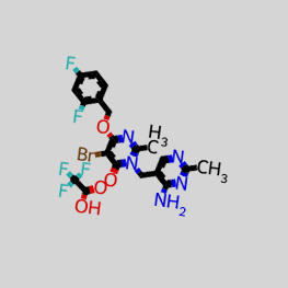 Cc1ncc(Cn2c(C)nc(OCc3ccc(F)cc3F)c(Br)c2=O)c(N)n1.O=C(O)C(F)(F)F